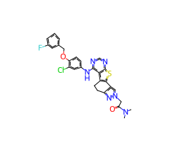 CN(C)C(=O)Cn1cc2c(n1)CCc1c-2sc2ncnc(Nc3ccc(OCc4cccc(F)c4)c(Cl)c3)c12